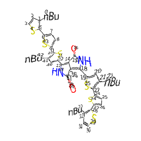 CCCCc1ccsc1-c1ccc(-c2sc(C3=C4C(=O)NC(c5cc(CCCC)c(-c6ccc(-c7sccc7CCCC)s6)s5)=C4C(=O)N3)cc2CCCC)s1